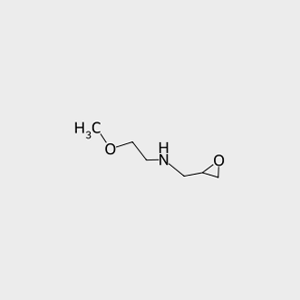 COCCNCC1CO1